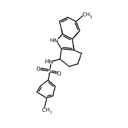 Cc1ccc(S(=O)(=O)NC2CCCc3c2[nH]c2ccc(C)cc32)cc1